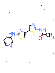 CC(=O)Nc1ncc(-c2csc(Nc3cccnc3)n2)s1